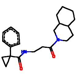 O=C(CCNC(=O)C1(c2ccccc2)CC1)N1CCC2CCCCC2C1